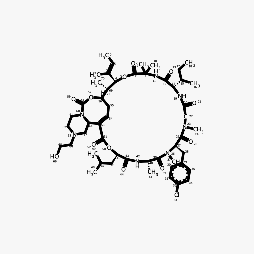 C/C=C(\C)[C@H]1OC(=O)C(C)(C)NC(=O)[C@H](C(C)CC)NC(=O)CN(C)C(=O)[C@@H](Cc2ccc(Cl)cc2)N(C)C(=O)[C@H](C)NC(=O)[C@@H](CC(C)C)OC(=O)/C2=C/C[C@H](OC(=O)N3CCN(CCO)CC23)[C@@H]1C